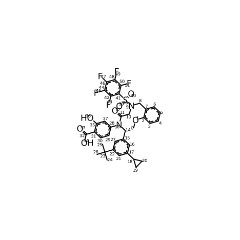 COc1ccccc1CN(CC(=O)N(Cc1cc(C2CC2)cc(C(C)(C)C)c1)c1ccc(C(=O)O)c(O)c1)S(=O)(=O)c1c(F)c(F)c(F)c(F)c1F